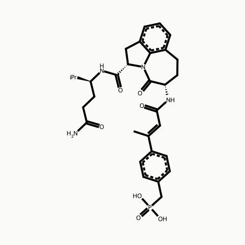 C/C(=C\C(=O)N[C@H]1CCc2cccc3c2N(C1=O)[C@H](C(=O)N[C@@H](CCC(N)=O)C(C)C)C3)c1ccc(CP(=O)(O)O)cc1